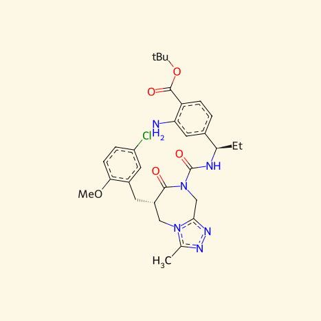 CC[C@@H](NC(=O)N1Cc2nnc(C)n2C[C@H](Cc2cc(Cl)ccc2OC)C1=O)c1ccc(C(=O)OC(C)(C)C)c(N)c1